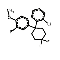 COc1ccc(C2(c3ccccc3Cl)CCC(F)(F)CC2)cc1F